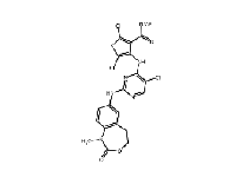 CNC(=O)c1c(Cl)sc(Cl)c1Nc1nc(Nc2ccc3c(c2)CCOC(=O)N3C)ncc1Cl